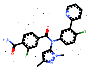 Cc1cc(N(C(=O)c2ccc(C(N)=O)c(Cl)c2)c2ccc(Cl)c(-c3ccccn3)c2)n(C)n1